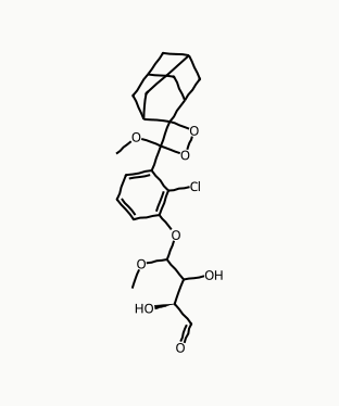 COC(Oc1cccc(C2(OC)OOC23C2CC4CC(C2)CC3C4)c1Cl)C(O)[C@H](O)C=O